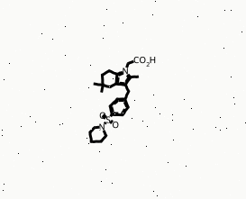 Cc1c(Cc2ccc(S(=O)(=O)N3CCCCC3)cc2)c2c(n1CC(=O)O)CCC(C)(C)C2